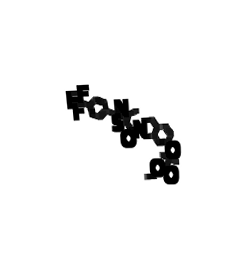 CCOC(=O)C(C)(C)OC1=CC2CN(C(=O)c3sc(-c4ccc(C(F)(F)F)cc4)nc3C)CCC2C=C1